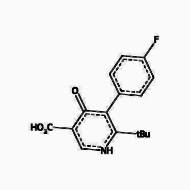 CC(C)(C)c1[nH]cc(C(=O)O)c(=O)c1-c1ccc(F)cc1